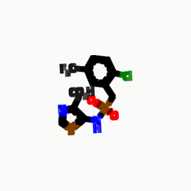 O=C(O)c1ncsc1NS(=O)(=O)Cc1cc(C(F)(F)F)ccc1Cl